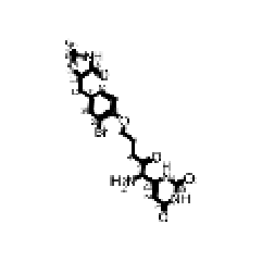 NC(C(=O)CCCOc1ccc(CC2SC(=S)NC2=O)cc1Br)c1cc(=O)[nH]c(=O)[nH]1